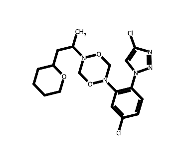 CC(CC1CCCCO1)N1CON(c2cc(Cl)ccc2-n2cc(Cl)nn2)CO1